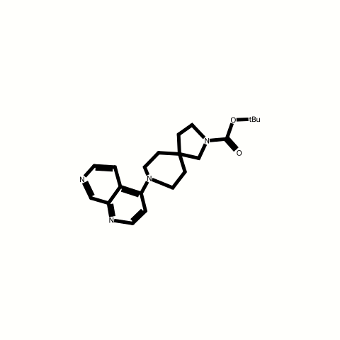 CC(C)(C)OC(=O)N1CCC2(CCN(c3ccnc4cnccc34)CC2)C1